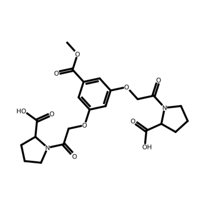 COC(=O)c1cc(OCC(=O)N2CCCC2C(=O)O)cc(OCC(=O)N2CCCC2C(=O)O)c1